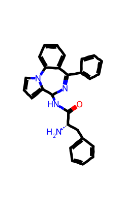 N[C@@H](Cc1ccccc1)C(=O)NC1N=C(c2ccccc2)c2ccccc2-n2cccc21